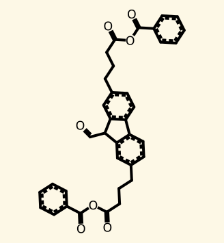 O=CC1c2cc(CCCC(=O)OC(=O)c3ccccc3)ccc2-c2ccc(CCCC(=O)OC(=O)c3ccccc3)cc21